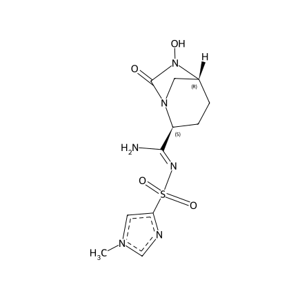 Cn1cnc(S(=O)(=O)N=C(N)[C@@H]2CC[C@@H]3CN2C(=O)N3O)c1